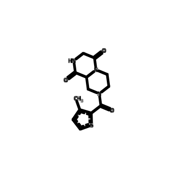 Cc1ccsc1C(=O)N1CCN2C(=O)CNC(=O)C2C1